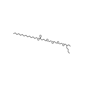 CCCCCCCCCCCCCCOC(=O)CCCOCCOCCOCCOCC(CC)CCCC